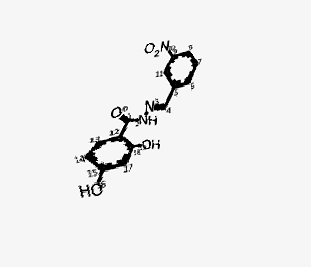 O=C(NN=Cc1cccc([N+](=O)[O-])c1)c1ccc(O)cc1O